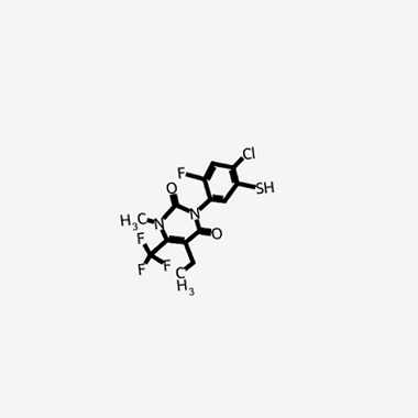 CCc1c(C(F)(F)F)n(C)c(=O)n(-c2cc(S)c(Cl)cc2F)c1=O